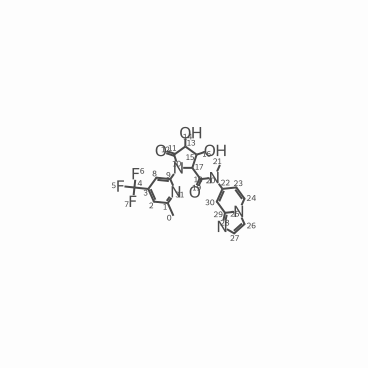 Cc1cc(C(F)(F)F)cc(N2C(=O)C(O)C(O)C2C(=O)N(C)c2ccn3ccnc3c2)n1